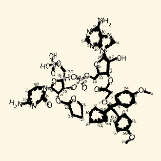 COc1ccc(C(OCC(=O)OC2C(COP(=O)(O)O[C@H]3[C@@H](OC4CCCO4)[C@H](n4ccc(N)nc4=O)O[C@@H]3COP(=O)(O)O)OC(n3cnc4c(N)ncnc43)C2O)(c2ccccc2)c2ccc(OC)cc2)cc1